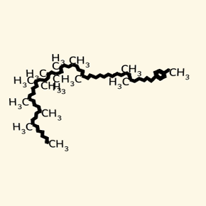 CCCCCCCC(C)CCCC(C)CCCC(C)CCCCC(C)CC(C)CC(C)CC(C)CC(C)CCC(C)CCCC(C)CCCCCCCCCC(C)CC(C)CCCCCc1ccc(CC)cc1